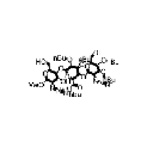 CCCCOC(=O)[C@@H]1O[C@@H](O[C@@H]2[C@H](CO)O[C@H](OC)C(N=[N+]=[N-])[C@H]2O)[C@@H](OCCCC)C(OCCCC)[C@@H]1O[C@H]1O[C@@H](CO)[C@@H](OCCCC)C(OCCCC)C1N=[N+]=[N-]